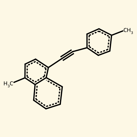 Cc1ccc(C#Cc2ccc(C)c3ccccc23)cc1